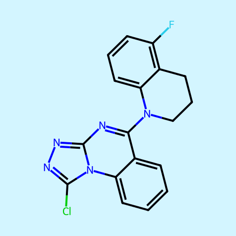 Fc1cccc2c1CCCN2c1nc2nnc(Cl)n2c2ccccc12